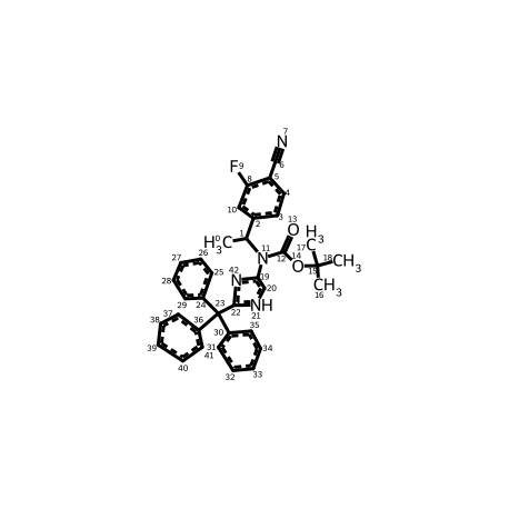 CC(c1ccc(C#N)c(F)c1)N(C(=O)OC(C)(C)C)c1c[nH]c(C(c2ccccc2)(c2ccccc2)c2ccccc2)n1